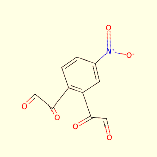 O=CC(=O)c1ccc([N+](=O)[O-])cc1C(=O)C=O